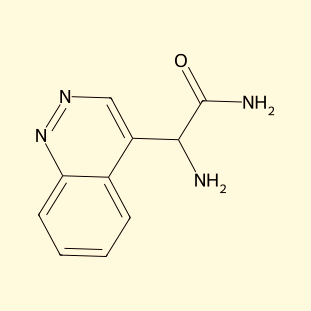 NC(=O)C(N)c1cnnc2ccccc12